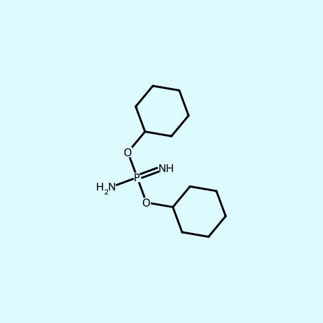 N=P(N)(OC1CCCCC1)OC1CCCCC1